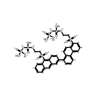 O=P(O)(O)OP(=O)(O)OCCS(=O)(=O)c1c2ccccc2cc2cc(-c3cccc4c3ccc3c(S(=O)(=O)CCOP(=O)(O)OP(=O)(O)O)cccc34)ccc12